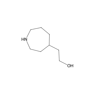 OCCC1CCCNCC1